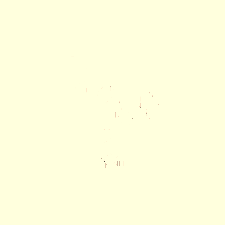 CN[C@@H](C)C(=O)Nc1ncc(-c2cccc(-c3c[nH]nn3)c2)n(Cc2cncc(-n3cc(C)c4c3C=CC(F)C4)c2)c1=O